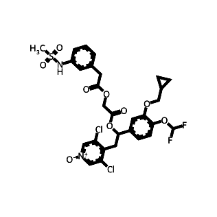 CS(=O)(=O)Nc1cccc(CC(=O)OCC(=O)OC(Cc2c(Cl)c[n+]([O-])cc2Cl)c2ccc(OC(F)F)c(OCC3CC3)c2)c1